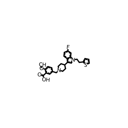 COc1ccc(CN2CCC(c3cn(CCc4cccs4)c4cc(F)ccc34)CC2)cc1C(=O)O